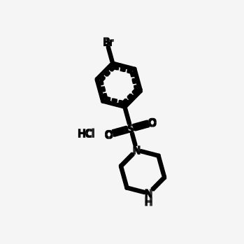 Cl.O=S(=O)(c1ccc(Br)cc1)N1CCNCC1